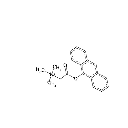 C[N+](C)(C)CC(=O)Oc1c2ccccc2cc2ccccc12